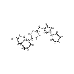 Fc1ccc2c(N3CCN(Cc4noc(-c5cccnc5)n4)CC3)ccnc2c1